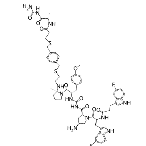 COc1ccc(C[C@H](NC(=O)NC(=O)[C@@H]2C[C@H](N)CN2C(=O)[C@H](Cc2c[nH]c3ccc(F)cc23)NC(=O)CCc2c[nH]c3ccc(F)cc23)C(=O)N2CCC[C@@]2(C)NCCSCc2ccc(CSCCC(=O)N[C@@H](C)C(=O)NC(N)=O)cc2)cc1